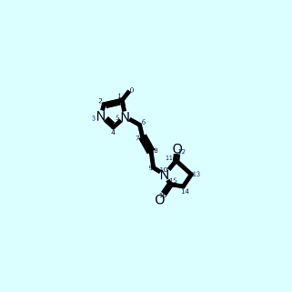 Cc1cncn1CC#CCN1C(=O)CCC1=O